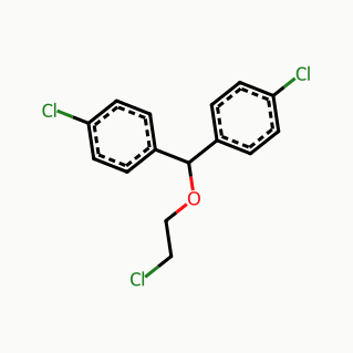 ClCCOC(c1ccc(Cl)cc1)c1ccc(Cl)cc1